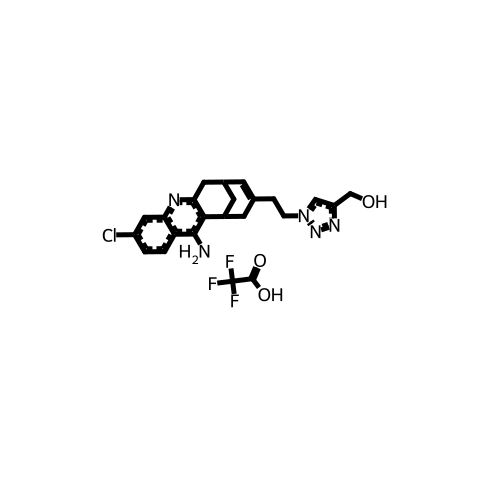 Nc1c2c(nc3cc(Cl)ccc13)CC1C=C(CCn3cc(CO)nn3)CC2C1.O=C(O)C(F)(F)F